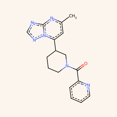 Cc1cc(C2CCCN(C(=O)c3ccccn3)C2)n2ncnc2n1